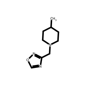 CC1CCN(Cc2ncon2)CC1